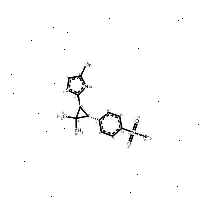 CC(C)c1csc([C@H]2[C@H](c3ccc(S(N)(=O)=O)cc3)C2(C)C)n1